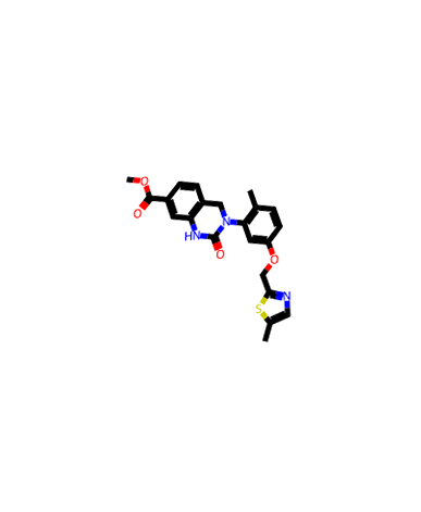 COC(=O)c1ccc2c(c1)NC(=O)N(c1cc(OCc3ncc(C)s3)ccc1C)C2